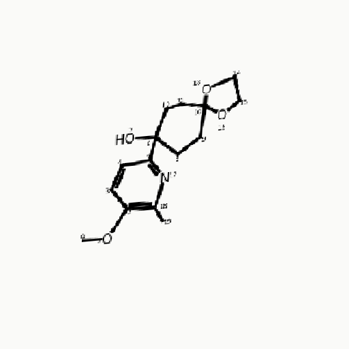 COc1ccc(C2(O)CCC3(CC2)OCCO3)nc1C